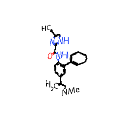 C#Cc1c[nH]c(C(=O)Nc2ccc(C(=C)CNC)cc2C2=CCCCC2)n1